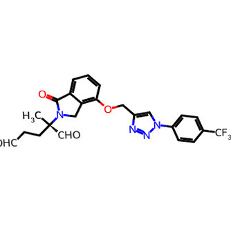 C[C@@](C=O)(CCC=O)N1Cc2c(OCc3cn(-c4ccc(C(F)(F)F)cc4)nn3)cccc2C1=O